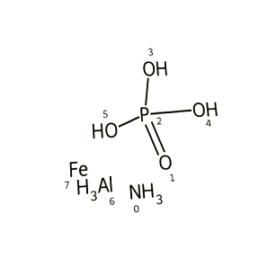 N.O=P(O)(O)O.[AlH3].[Fe]